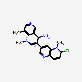 CN/C=C(/c1cnc2c(c1)N(C)C(Cl)C=C2)C(N)c1cncc(C)c1